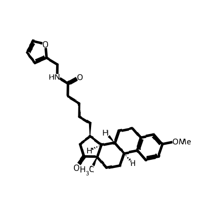 COc1ccc2c(c1)CC[C@H]1[C@@H]3[C@H](CCCCC(=O)NCc4ccco4)CC(=O)[C@@]3(C)CC[C@H]21